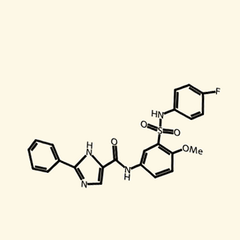 COc1ccc(NC(=O)c2cnc(-c3ccccc3)[nH]2)cc1S(=O)(=O)Nc1ccc(F)cc1